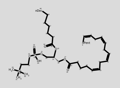 CCCCC/C=C\C/C=C\C/C=C\C/C=C\CCCC(=O)OC[C@H](COP(=O)(O)OCC[N+](C)(C)C)OC(=O)CCCCCCCCCCCCCCC